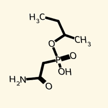 CCC(C)OP(=O)(O)CC(N)=O